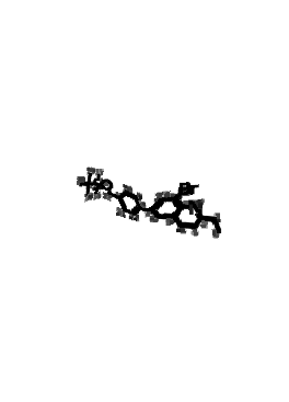 CCc1ccc2cc(-c3ccc(CO[Si](C)(C)C(C)(C)C)cc3)cc(Br)c2n1